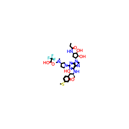 CCC(=O)N[C@H]1C[C@@H](n2cnc3c(N[C@@H](CO)[C@@H](O)c4ccc(SC)cc4)nc(N4CC[C@@H](N(C)C)C4)nc32)[C@H](O)[C@@H]1O.O=C(O)C(F)(F)F